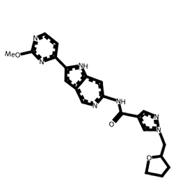 COc1nccc(-c2cc3cnc(NC(=O)c4cnn(CC5CCCO5)c4)cc3[nH]2)n1